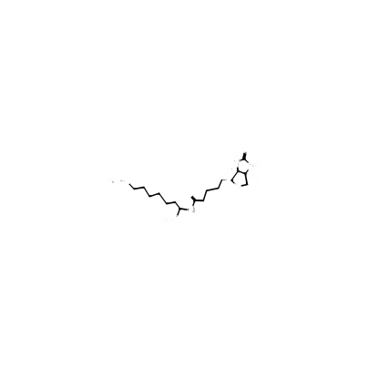 CCCCCCCCCCCCCCCCC(C=O)NC(=O)CCCC[C@@H]1SC[C@@H]2NC(=O)N[C@@H]21